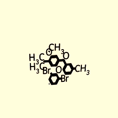 COc1cc(C(=O)c2cccc(C)c2)c(Oc2c(Br)c[c]cc2Br)cc1C(C)C